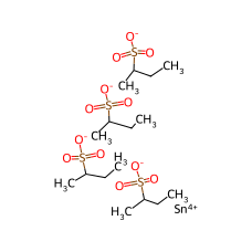 CCC(C)S(=O)(=O)[O-].CCC(C)S(=O)(=O)[O-].CCC(C)S(=O)(=O)[O-].CCC(C)S(=O)(=O)[O-].[Sn+4]